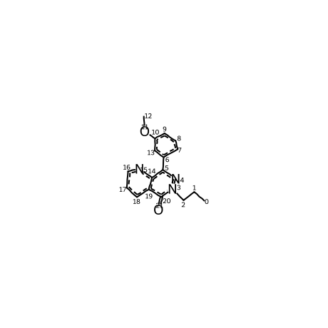 CCCn1nc(-c2cccc(OC)c2)c2ncccc2c1=O